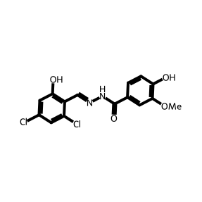 COc1cc(C(=O)N/N=C/c2c(O)cc(Cl)cc2Cl)ccc1O